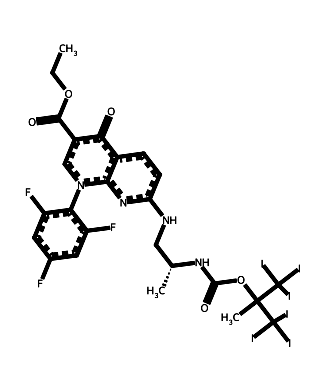 CCOC(=O)c1cn(-c2c(F)cc(F)cc2F)c2nc(NC[C@@H](C)NC(=O)OC(C)(C(I)(I)I)C(I)(I)I)ccc2c1=O